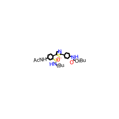 CC(=O)Nc1ccc(-c2cnc(-c3ccc(NC(=O)OCC(C)C)cc3)s2)c([S+]([O-])NC(C)(C)C)c1